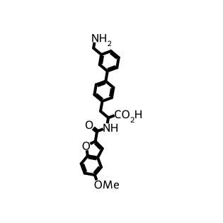 COc1ccc2oc(C(=O)NC(Cc3ccc(-c4cccc(CN)c4)cc3)C(=O)O)cc2c1